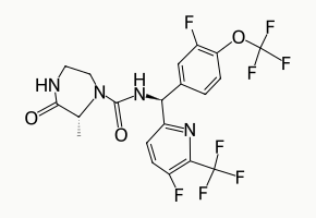 C[C@@H]1C(=O)NCCN1C(=O)N[C@@H](c1ccc(OC(F)(F)F)c(F)c1)c1ccc(F)c(C(F)(F)F)n1